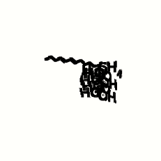 C.CCCCCCCCCCCC.O.O=P(O)(O)O.O=P(O)(O)O